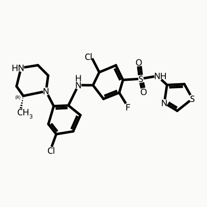 C[C@@H]1CNCCN1c1cc(Cl)ccc1NC1C=C(F)C(S(=O)(=O)Nc2cscn2)=CC1Cl